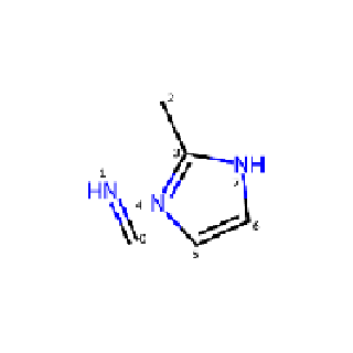 C=N.Cc1ncc[nH]1